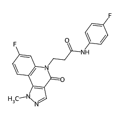 Cn1ncc2c(=O)n(CCC(=O)Nc3ccc(F)cc3)c3cc(F)ccc3c21